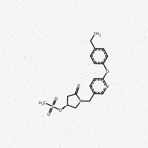 CCc1ccc(Oc2ccc(CN3C[C@@H](OS(C)(=O)=O)CC3=O)cn2)cc1